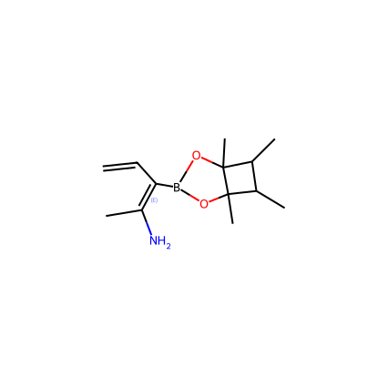 C=C/C(B1OC2(C)C(C)C(C)C2(C)O1)=C(\C)N